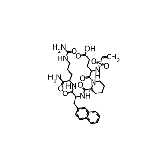 C=CS(=O)(=O)NC(CCC(=O)O)C(=O)N1CCCC[C@H]1C(=O)NC(Cc1ccc2ccccc2c1)C(=O)NC(CCCNC(N)=O)C(N)=O